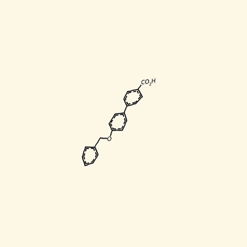 O=C(O)c1ccc(-c2ccc(OCc3ccccc3)cc2)cc1